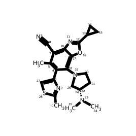 Cc1nc(-c2c(C)c(C#N)c3nc(C4CC4)oc3c2N2CC[C@H](N(C)C)C2)cs1